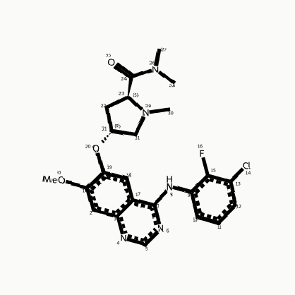 COc1cc2ncnc(Nc3cccc(Cl)c3F)c2cc1O[C@@H]1C[C@@H](C(=O)N(C)C)N(C)C1